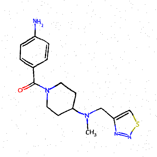 CN(Cc1csnn1)C1CCN(C(=O)c2ccc(N)cc2)CC1